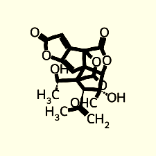 C=C(C)[C@@H]1[C@@H](O)C2OC(=O)C34OC(OC=O)C1([C@H](C)O)C23C=C1OC(=O)C=C14